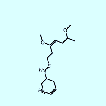 CO/C(=C/CC(C)OC)CCSNC1CC=CNC1